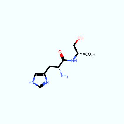 N[C@H](Cc1c[nH]cn1)C(=O)N[C@H](CO)C(=O)O